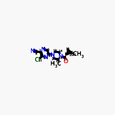 CC1CN(c2cnc(C#N)c(Cl)n2)CCN1C(=O)[C@@H]1C[C@H]1C